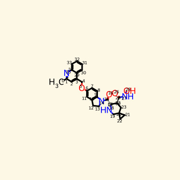 Cc1cc(COc2ccc3c(c2)CCN3C(=O)[C@H]2NCC3(CC3)C[C@@H]2C(=O)NO)c2ccccc2n1